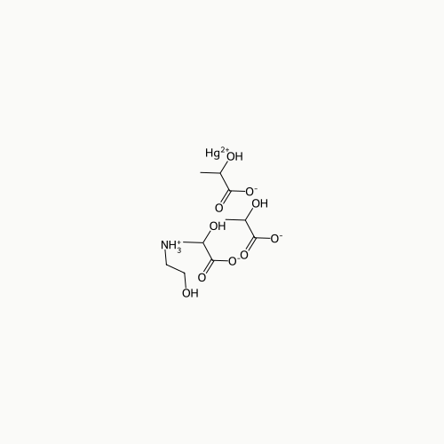 CC(O)C(=O)[O-].CC(O)C(=O)[O-].CC(O)C(=O)[O-].[Hg+2].[NH3+]CCO